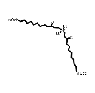 CCCCCCCCC=CCCCCCCCC(=O)CC[N+](CC)(CC)CCC(=O)CCCCCCCC=CCCCCCCCC